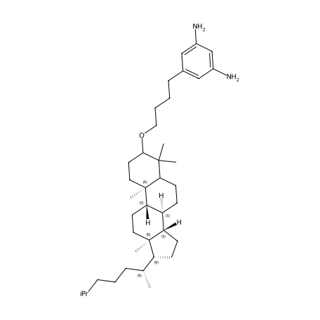 CC(C)CCC[C@@H](C)[C@H]1CC[C@H]2[C@@H]3CCC4C(C)(C)C(OCCCCc5cc(N)cc(N)c5)CC[C@]4(C)[C@H]3CC[C@]12C